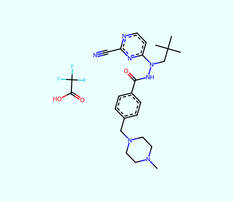 CN1CCN(Cc2ccc(C(=O)NN(CC(C)(C)C)c3ccnc(C#N)n3)cc2)CC1.O=C(O)C(F)(F)F